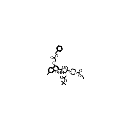 CCOC(=O)N1CCN(C(=O)[C@H](CC(=O)OC(C)(C)C)NC(=O)c2cc(OCC(=O)OCc3ccccc3)c3ccc(C)cc3n2)CC1